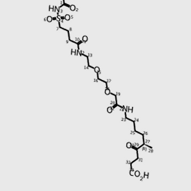 CCCCC(=O)NS(=O)(=O)CCCC(=O)NCCOCCOCC(=O)NCCCC[C@@H](C)C(=O)CCC(=O)O